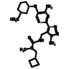 Cc1nc(-c2nnn(C)c2CNC(=O)N(C)CC2CCC2)ccc1OC1CCCC(C(=O)O)C1